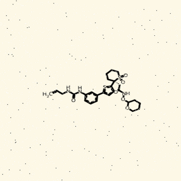 C=CCNC(=O)Nc1cccc(-c2ccc([C@@]3(CC(=O)NOC4CCCCO4)CCCCS3(=O)=O)s2)c1